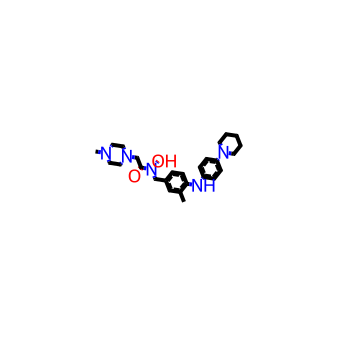 Cc1cc(CN(O)C(=O)CN2CCN(C)CC2)ccc1Nc1ccc(N2CCCCC2)cc1